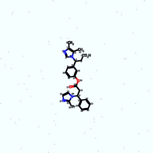 Cc1ncn(C(CC(=O)O)c2cccc(OC(=O)CC(c3ccccc3)n3ccnc3C(C)C)c2)c1C